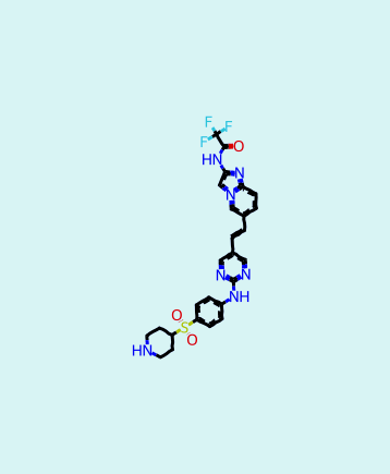 O=C(Nc1cn2cc(C=Cc3cnc(Nc4ccc(S(=O)(=O)C5CCNCC5)cc4)nc3)ccc2n1)C(F)(F)F